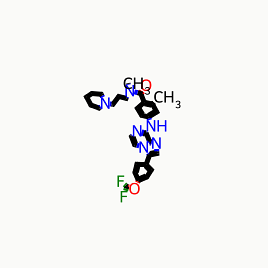 Cc1cc(Nc2nccn3c(-c4ccc(OC(F)F)cc4)cnc23)ccc1C(=O)N(C)CCCN1CCCCC1